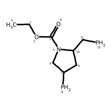 CCOC(=O)N1CC(P)CC1CP